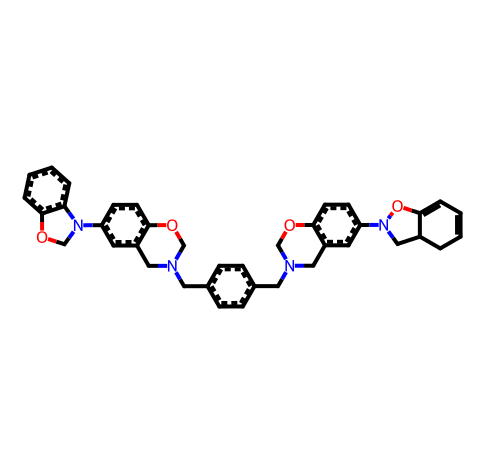 C1=CCC2CN(c3ccc4c(c3)CN(Cc3ccc(CN5COc6ccc(N7COc8ccccc87)cc6C5)cc3)CO4)OC2=C1